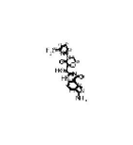 Nc1nsc2c1ccc1[nH]c([C@H](O)[C@H]3OCCN(c4cccc(C(F)(F)F)n4)C3=O)nc(=O)c12